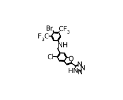 FC(F)(F)c1cc(NCc2cc3oc(-c4nnn[nH]4)cc3cc2Cl)cc(C(F)(F)F)c1Br